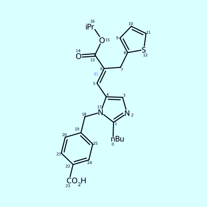 CCCCc1ncc(/C=C(\Cc2cccs2)C(=O)OC(C)C)n1Cc1ccc(C(=O)O)cc1